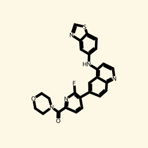 O=C(c1ccc(-c2ccc3nccc(Nc4ccc5scnc5c4)c3c2)c(F)n1)N1CCOCC1